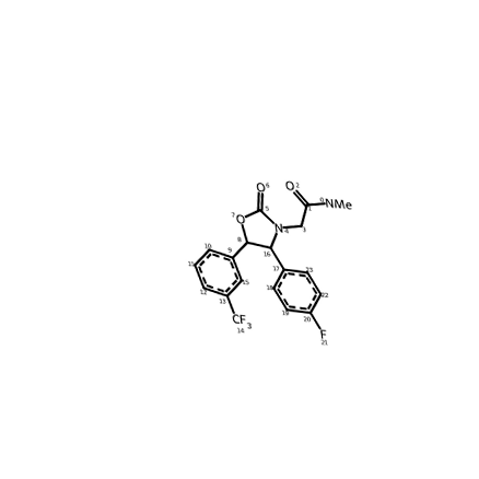 CNC(=O)CN1C(=O)OC(c2cccc(C(F)(F)F)c2)C1c1ccc(F)cc1